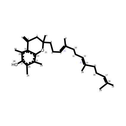 C=C1CC(C)(CC/C=C(\C)CC/C=C(\C)CCC=C(C)C)Oc2c(C)c(C)c(O)c(C)c21